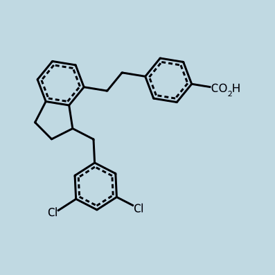 O=C(O)c1ccc(CCc2cccc3c2C(Cc2cc(Cl)cc(Cl)c2)CC3)cc1